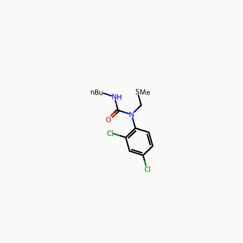 CCCCNC(=O)N(CSC)c1ccc(Cl)cc1Cl